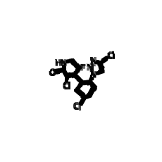 O=c1[nH]cc(F)c(-c2cc(Cl)ccc2-n2cc(Cl)nn2)c1Cl